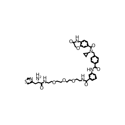 N[C@@H](Cc1cscn1)C(=O)NCCOCCOCCOCCNC(=O)c1cccc(NC(=O)c2ccc(CN(C(=O)c3ccc4c(c3)OCC(=O)N4)C3CC3)cc2)c1